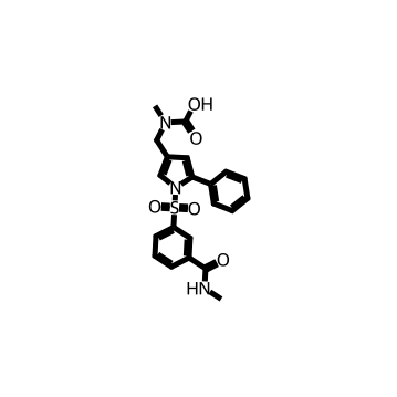 CNC(=O)c1cccc(S(=O)(=O)n2cc(CN(C)C(=O)O)cc2-c2ccccc2)c1